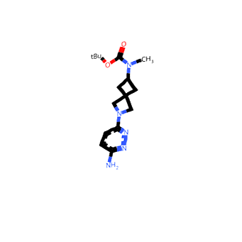 CN(C(=O)OC(C)(C)C)C1CC2(C1)CN(c1ccc(N)nn1)C2